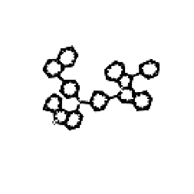 c1ccc(-c2c3ccccc3n3c(-c4ccc(N(c5ccc(-c6cccc7ccccc67)cc5)c5cccc6oc7ccccc7c56)cc4)cc4ccccc4c23)cc1